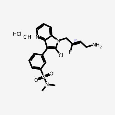 CN(C)S(=O)(=O)c1cccc(-c2c(Cl)n(C/C(F)=C/CN)c3cccnc23)c1.Cl.Cl